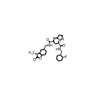 Cn1c(=O)oc2ccc(CNC(=O)c3cc(C(=O)NCc4ccccc4F)n4nccc4n3)cc21